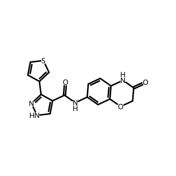 O=C1COc2cc(NC(=O)c3c[nH]nc3-c3ccsc3)ccc2N1